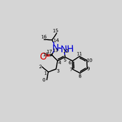 CC(C)Cc1c(-c2ccccc2)[nH]n(C(C)C)c1=O